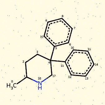 CC1CCC(c2ccccc2)(c2ccccc2)CN1